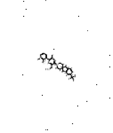 Cc1cccc(-c2nc(CO)c(N3CCC4(CC3)Cc3ccc(C(F)(F)F)cc3C4)nc2C)c1Cl